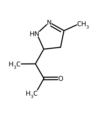 CC(=O)C(C)C1CC(C)=NN1